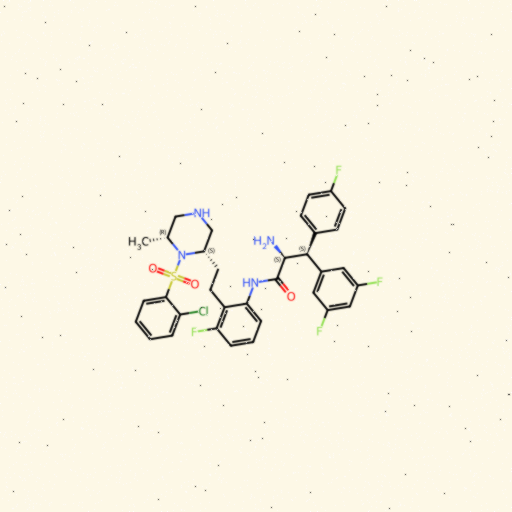 C[C@@H]1CNC[C@H](CCc2c(F)cccc2NC(=O)[C@@H](N)[C@@H](c2ccc(F)cc2)c2cc(F)cc(F)c2)N1S(=O)(=O)c1ccccc1Cl